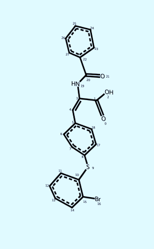 O=C(O)/C(=C\c1ccc(Sc2ccccc2Br)cc1)NC(=O)c1ccccc1